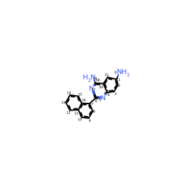 Nc1ccc2nc(-c3cccc4ccccc34)nc(N)c2c1